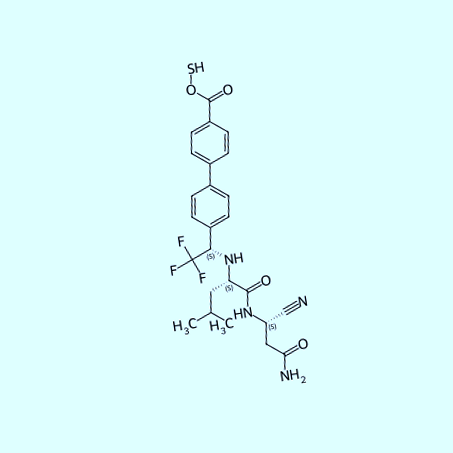 CC(C)C[C@H](N[C@@H](c1ccc(-c2ccc(C(=O)OS)cc2)cc1)C(F)(F)F)C(=O)N[C@H](C#N)CC(N)=O